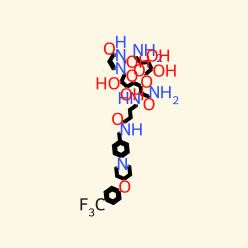 NCC1OC(OC(C(NCCCC(=O)NCc2ccc(N3CCC(Oc4ccc(C(F)(F)F)cc4)CC3)cc2)C(N)=O)C2OC(N3C=CC(=O)NC3O)C(O)C2O)C(O)C1O